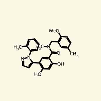 COc1ccc(C)cc1CN(C)C(=O)c1cc(-c2ccnn2-c2ccccc2C)c(O)cc1O